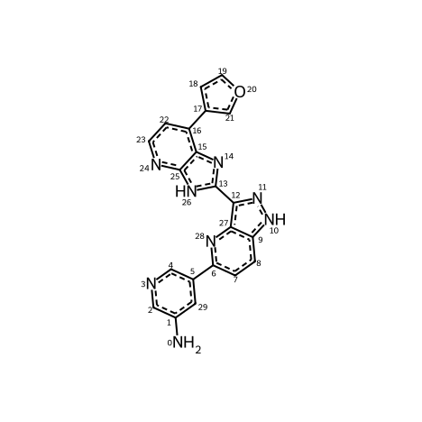 Nc1cncc(-c2ccc3[nH]nc(-c4nc5c(-c6ccoc6)ccnc5[nH]4)c3n2)c1